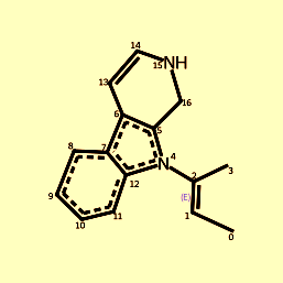 C/C=C(\C)n1c2c(c3ccccc31)C=CNC2